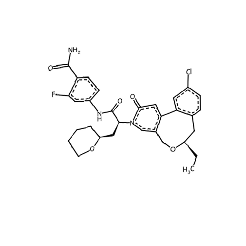 CC[C@@H]1Cc2ccc(Cl)cc2-c2cc(=O)n([C@@H](C[C@@H]3CCCCO3)C(=O)Nc3ccc(C(N)=O)c(F)c3)cc2CO1